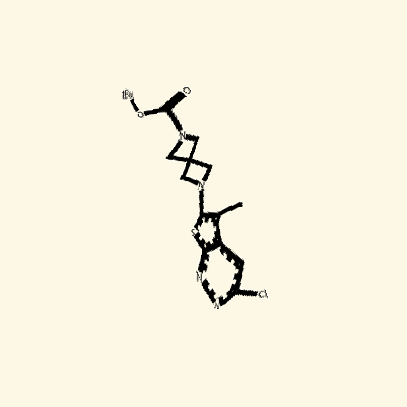 Cc1c(N2CC3(CN(C(=O)OC(C)(C)C)C3)C2)sc2nnc(Cl)cc12